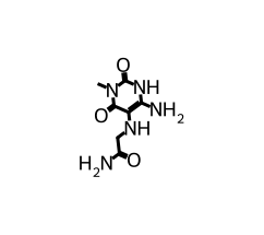 Cn1c(=O)[nH]c(N)c(NCC(N)=O)c1=O